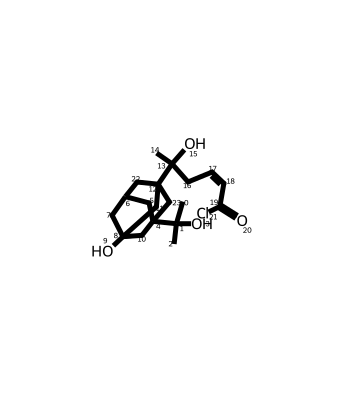 CC(C)(O)C12CC3CC(O)(C1)CC(C(C)(O)C/C=C\C(=O)Cl)(C3)C2